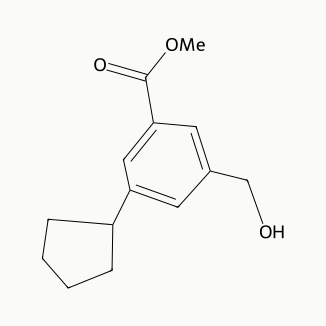 COC(=O)c1cc(CO)cc(C2CCCC2)c1